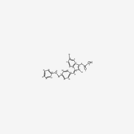 CC1=C(CC(=O)O)c2cc(C)ccc2/C1=C\c1ccc(COc2ccccc2)cc1